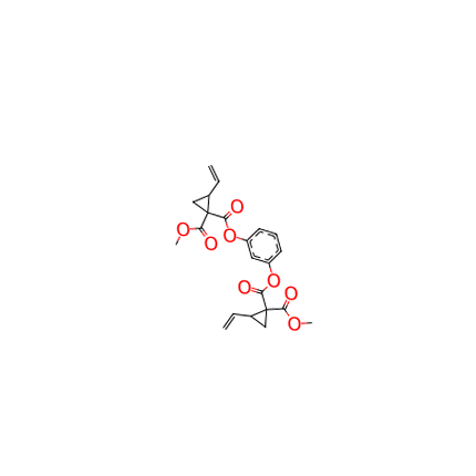 C=CC1CC1(C(=O)OC)C(=O)Oc1cccc(OC(=O)C2(C(=O)OC)CC2C=C)c1